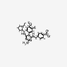 CCN1CCCC1CNC1=NC(N)=NC(NCc2ccc([N+](=O)[O-])cc2)N1c1ccc(OC)c(F)c1